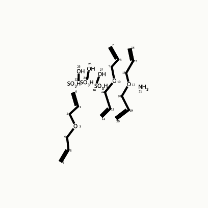 C=CCOCC=C.C=CCOCC=C.C=CCOCC=C.N.O=S(=O)(O)O.O=S(=O)(O)O.O=S(=O)(O)O